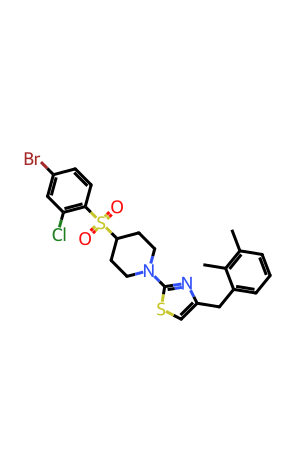 Cc1cccc(Cc2csc(N3CCC(S(=O)(=O)c4ccc(Br)cc4Cl)CC3)n2)c1C